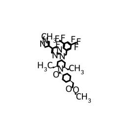 CCOC(=O)C[C@H]1CC[C@H](C(=O)N2[C@H](CC)C[C@H](N(Cc3cc(C(F)(F)F)cc(C(F)(F)F)c3)c3ncc(-c4cnn(C)c4)cn3)C[C@@H]2CC)CC1